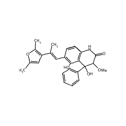 COC1C(=O)Nc2ccc(/C=C(\C)c3cc(C)oc3C)c(O)c2C1(O)c1ccccc1